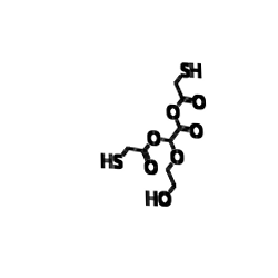 O=C(CS)OC(=O)C(OCCO)OC(=O)CS